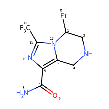 CCC1CNCc2c(C(N)=O)nc(C(F)(F)F)n21